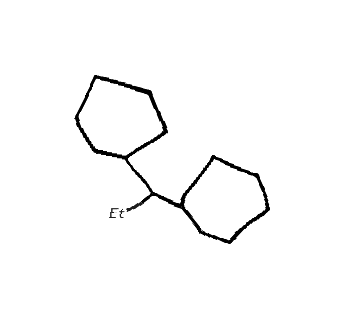 [CH2]C[C](C1CCCCC1)C1CCCCC1